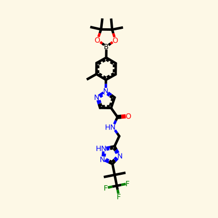 Cc1cc(B2OC(C)(C)C(C)(C)O2)ccc1-n1cc(C(=O)NCc2nc(C(C)(C)C(F)(F)F)n[nH]2)cn1